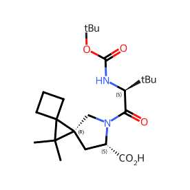 CC(C)(C)OC(=O)N[C@H](C(=O)N1C[C@]2(C[C@H]1C(=O)O)C(C)(C)C21CCC1)C(C)(C)C